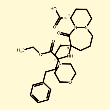 CCOC(=O)[C@H](CCc1ccccc1)N[C@@]1(CCN2CCOCC2)CCCN2CCC[C@@H](C(=O)O)N2C1=O